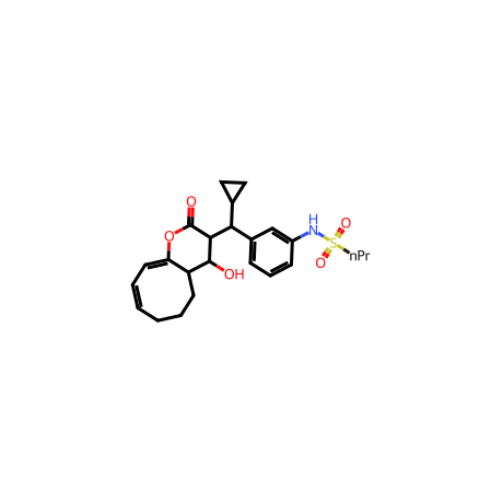 CCCS(=O)(=O)Nc1cccc(C(C2CC2)C2C(=O)OC3=CC=CCCCC3C2O)c1